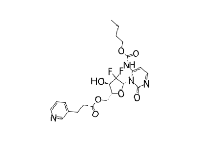 CCCCOC(=O)Nc1ccnc(=O)n1[C@@H]1O[C@H](COC(=O)CCc2cccnc2)[C@@H](O)C1(F)F